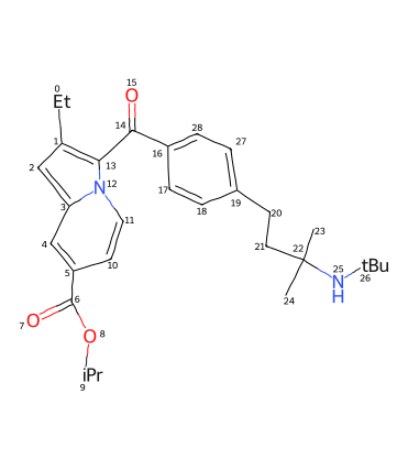 CCc1cc2cc(C(=O)OC(C)C)ccn2c1C(=O)c1ccc(CCC(C)(C)NC(C)(C)C)cc1